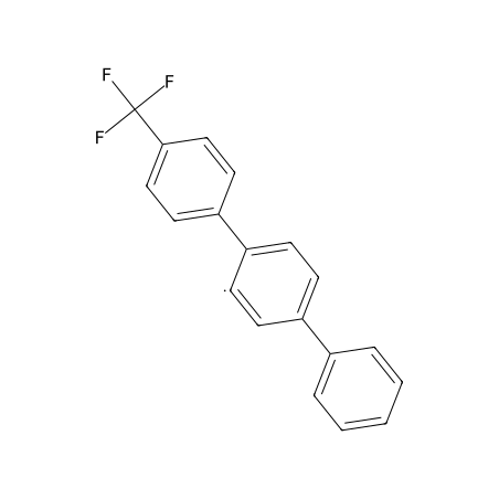 FC(F)(F)c1ccc(-c2[c]cc(-c3ccccc3)cc2)cc1